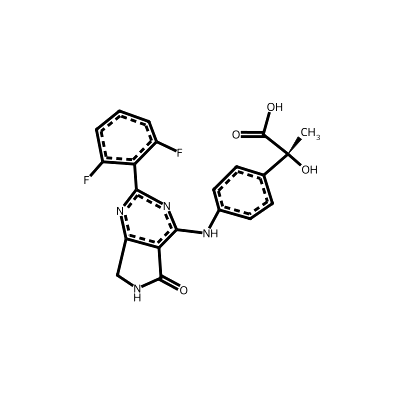 C[C@](O)(C(=O)O)c1ccc(Nc2nc(-c3c(F)cccc3F)nc3c2C(=O)NC3)cc1